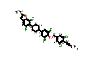 CCCc1cc2cc(F)c(C3CCC(c4cc(F)c(OCc5cc(F)c(C#CC(F)(F)F)c(F)c5)c(F)c4)CC3)c(F)c2s1